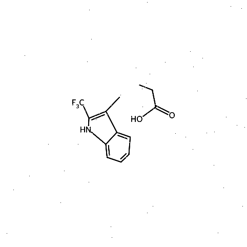 CCC(=O)O.Cc1c(C(F)(F)F)[nH]c2ccccc12